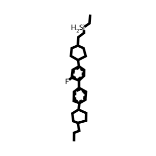 CCCC1CCC(c2ccc(-c3ccc(C4CCC(CC[SiH2]CC)CC4)cc3F)cc2)CC1